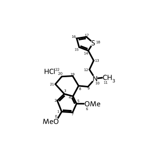 COc1cc2c(c(OC)c1)C(CN(C)CCc1cccs1)CCC2.Cl